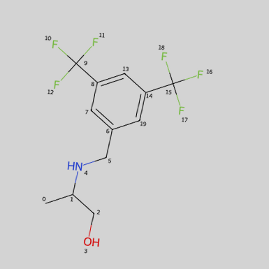 CC(CO)NCc1cc(C(F)(F)F)cc(C(F)(F)F)c1